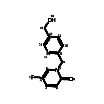 O=c1ccc(F)cn1Cc1ccc(CO)cn1